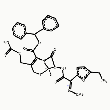 CO/N=C(/C(=O)N[C@@H]1C(=O)N2C(C(=O)OC(c3ccccc3)c3ccccc3)=C(COC(N)=O)CS[C@H]12)c1ccc(CN)o1